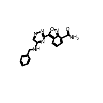 NC(=O)c1cccc2c(-c3nncc(NCc4ccccc4)n3)onc12